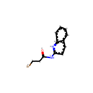 O=C(CCBr)Nc1ccc2ccccc2n1